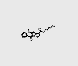 CCCCCCOC(=O)C1=C2C=C(SC)C(C(=O)c3ccccc3)N2CC1